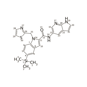 C[Si](C)(C)c1ccc2c(c1)cc(C(=O)Nc1cnc3[nH]ccc3c1)n2Cc1nccs1